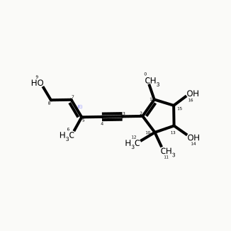 CC1=C(C#C/C(C)=C/CO)C(C)(C)C(O)C1O